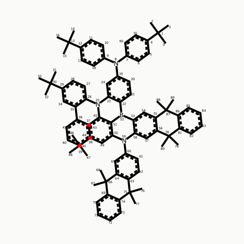 CC(C)(C)c1ccc(N(c2ccc(C(C)(C)C)cc2)c2ccc3c(c2)N(c2ccc(C(C)(C)C)cc2-c2ccccc2)c2cc(C(C)(C)C)cc4c2B3c2cc3c(cc2N4c2ccc4c(c2)C(C)(C)c2ccccc2C4(C)C)C(C)(C)c2ccccc2C3(C)C)cc1